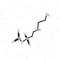 CCCNCCS(=O)(=O)O[SH](=O)=O